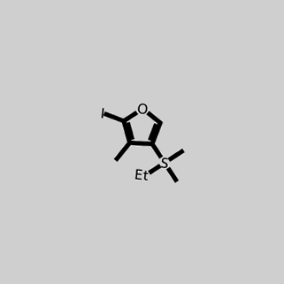 CCS(C)(C)c1coc(I)c1C